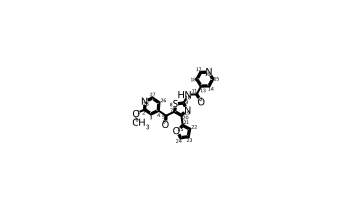 COc1cc(C(=O)c2sc(NC(=O)c3ccncc3)nc2-c2ccco2)ccn1